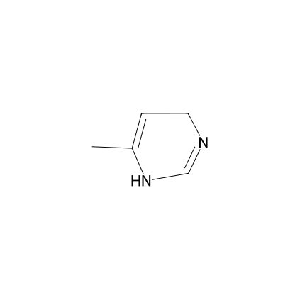 CC1=CCN=CN1